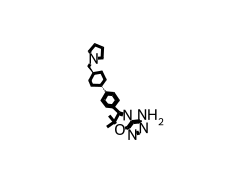 CC1(C)Oc2ncnc(N)c2N=C1c1ccc([C@H]2CC[C@H](CN3CCCC3)CC2)cc1